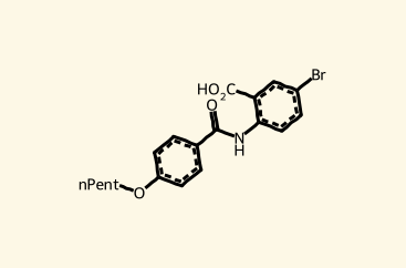 CCCCCOc1ccc(C(=O)Nc2ccc(Br)cc2C(=O)O)cc1